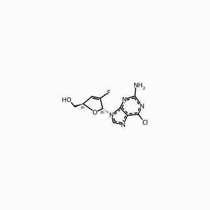 Nc1nc(Cl)c2ncn([C@@H]3O[C@@H](CO)C=C3F)c2n1